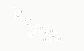 Cc1onc(NC(=O)N2CC/C(=C\c3cccc(Oc4ccc(Cl)cn4)c3)C(C)C2)c1C